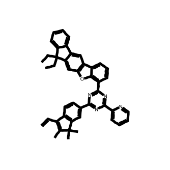 C=CC1=C(C)C(C)(C)c2cc(-c3nc(-c4ccccn4)nc(-c4cccc5c4oc4cc6c(cc45)-c4ccccc4C6(CC)CC)n3)ccc21